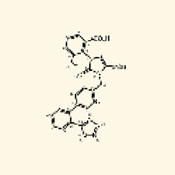 CCCCc1cn(-c2c(C(=O)O)cccc2C(C)C)c(=O)n1Cc1ccc(-c2ccccc2-c2nnn[nH]2)cn1